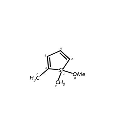 CO[Si]1(C)C=CC=C1C